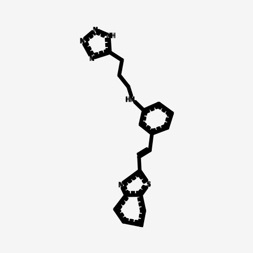 C(=Cc1nc2ccccc2s1)c1cccc(NCCCc2nnn[nH]2)c1